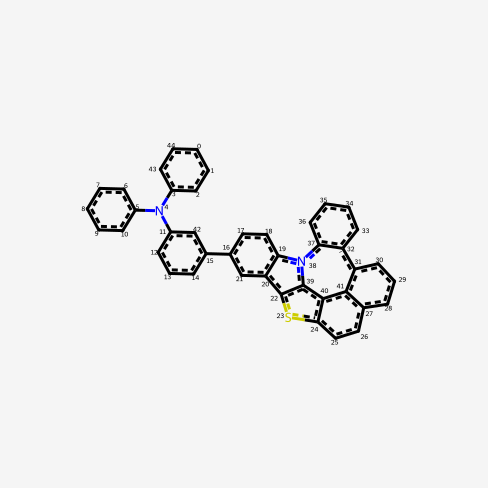 c1ccc(N(c2ccccc2)c2cccc(-c3ccc4c(c3)c3sc5ccc6cccc7c8ccccc8n4c3c5c67)c2)cc1